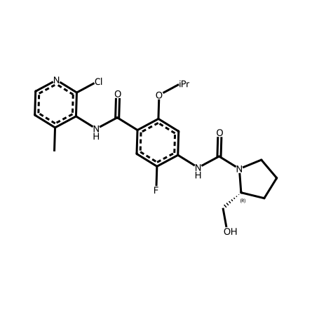 Cc1ccnc(Cl)c1NC(=O)c1cc(F)c(NC(=O)N2CCC[C@@H]2CO)cc1OC(C)C